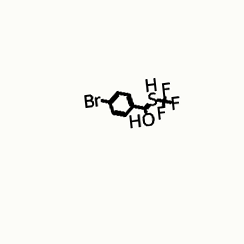 OC(=[SH]C(F)(F)F)c1ccc(Br)cc1